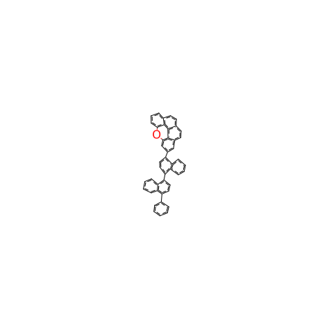 c1ccc(-c2ccc(-c3ccc(-c4cc5c6c(ccc7ccc8cccc(c8c76)O5)c4)c4ccccc34)c3ccccc23)cc1